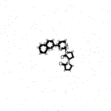 O=C1[C@H](N2CCCC2=O)CCN1c1nccc(-c2ccc3ccccc3c2)n1